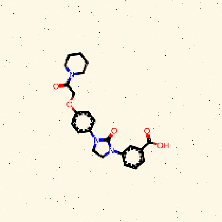 O=C(O)c1cccc(N2CCN(c3ccc(OCC(=O)N4CCCCC4)cc3)C2=O)c1